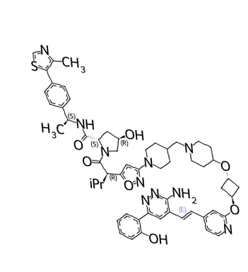 Cc1ncsc1-c1ccc([C@H](C)NC(=O)[C@@H]2C[C@@H](O)CN2C(=O)[C@@H](c2cc(N3CCC(CN4CCC(O[C@H]5C[C@H](Oc6cc(/C=C/c7cc(-c8ccccc8O)nnc7N)ccn6)C5)CC4)CC3)no2)C(C)C)cc1